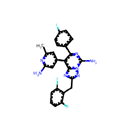 Cc1cc(-c2c(-c3ccc(F)cc3)nc(N)n3nc(Cc4c(F)cccc4F)nc23)cc(N)n1